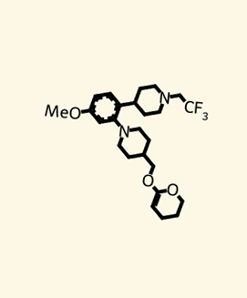 COc1ccc(C2CCN(CC(F)(F)F)CC2)c(N2CCC(COC3=CCCCO3)CC2)c1